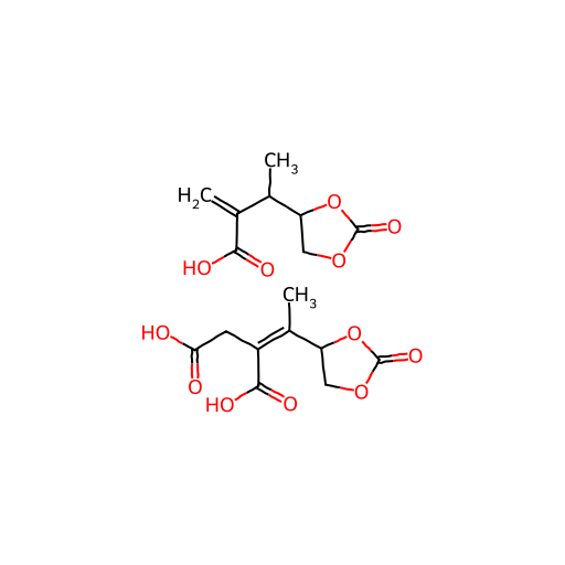 C=C(C(=O)O)C(C)C1COC(=O)O1.CC(=C(CC(=O)O)C(=O)O)C1COC(=O)O1